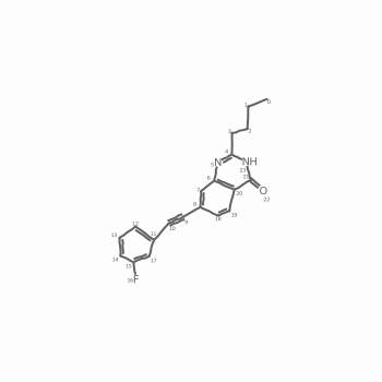 CCCCc1nc2cc(C#Cc3cccc(F)c3)ccc2c(=O)[nH]1